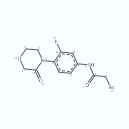 CC(=O)CC(=O)Nc1ccc(N2CCOCC2=O)c(F)c1